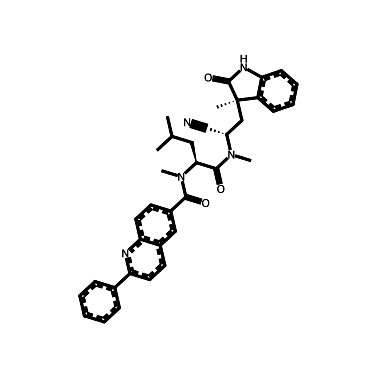 CC(C)C[C@@H](C(=O)N(C)[C@H](C#N)C[C@@]1(C)C(=O)Nc2ccccc21)N(C)C(=O)c1ccc2nc(-c3ccccc3)ccc2c1